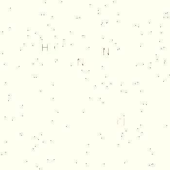 Cn1cc(Cl)[c]n1